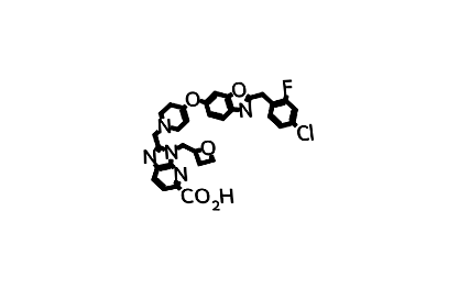 O=C(O)c1ccc2nc(CN3CC=C(Oc4ccc5nc(Cc6ccc(Cl)cc6F)oc5c4)CC3)n(CC3CCO3)c2n1